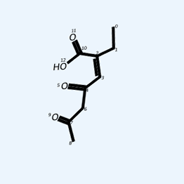 CCC(=CC(=O)CC(C)=O)C(=O)O